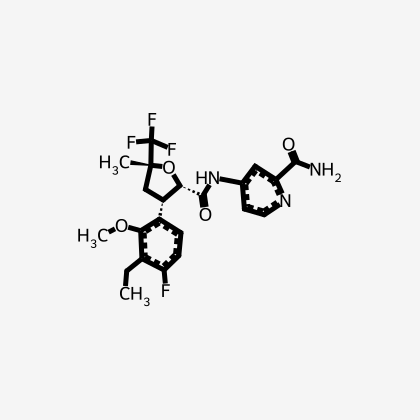 CCc1c(F)ccc([C@@H]2C[C@](C)(C(F)(F)F)O[C@@H]2C(=O)Nc2ccnc(C(N)=O)c2)c1OC